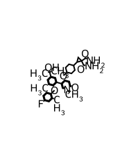 Cc1cc(F)cc(C)c1Oc1ccc(C(C)(C)O)cc1-c1cn(C)c(=O)cc1OC1CCC(C2CC2(C(N)=O)C(N)=O)CC1